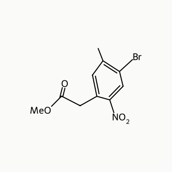 COC(=O)Cc1cc(C)c(Br)cc1[N+](=O)[O-]